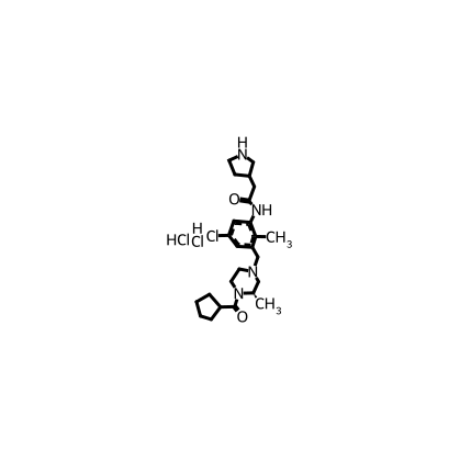 Cc1c(CN2CCN(C(=O)C3CCCC3)[C@@H](C)C2)cc(Cl)cc1NC(=O)CC1CCNC1.Cl.Cl